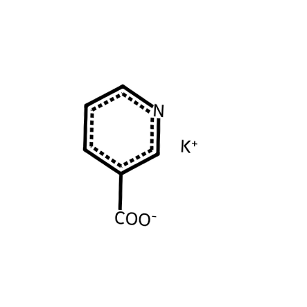 O=C([O-])c1cccnc1.[K+]